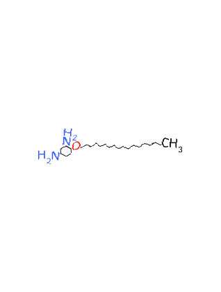 CCCCCCCCCCCCCCCCCCOC1CCC(N)CC1N